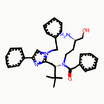 CC(C)(C)[C@H](c1nc(-c2ccccc2)cn1Cc1ccccc1)N(CC[C@H](N)CO)C(=O)c1ccccc1